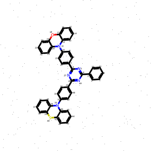 c1ccc(-c2nc(-c3ccc(N4c5ccccc5Oc5ccccc54)cc3)nc(-c3ccc(N4c5ccccc5Sc5ccccc54)cc3)n2)cc1